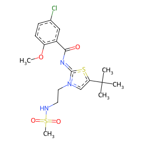 COc1ccc(Cl)cc1C(=O)/N=c1\sc(C(C)(C)C)cn1CCNS(C)(=O)=O